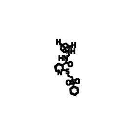 CC1(C)[C@@H]2CC[C@H](CNC(=O)c3cccnc3SCCS(=O)(=O)c3ccccc3)[C@H]1C2